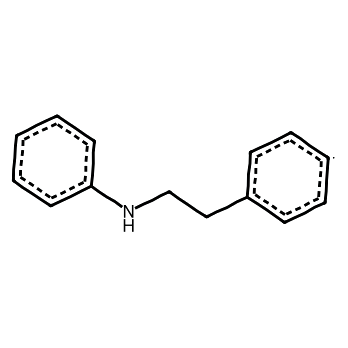 [c]1ccc(CCNc2ccccc2)cc1